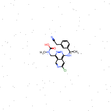 C[C@@H](Nc1nnc(CN(C)C(=O)O)c2cnc(Cl)cc12)c1cccc(CC#N)c1